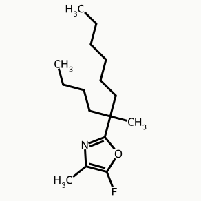 CCCCCCC(C)(CCCC)c1nc(C)c(F)o1